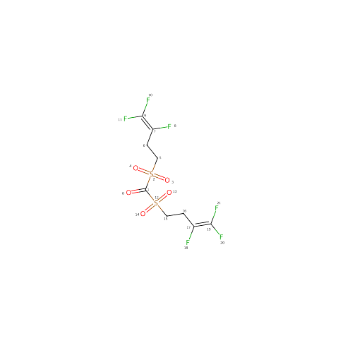 O=C(S(=O)(=O)CCC(F)=C(F)F)S(=O)(=O)CCC(F)=C(F)F